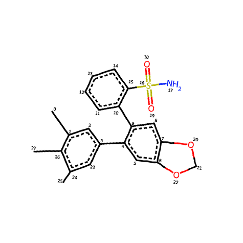 Cc1cc(-c2cc3c(cc2-c2ccccc2S(N)(=O)=O)OCO3)cc(C)c1C